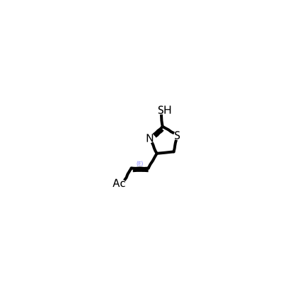 CC(=O)/C=C/C1CSC(S)=N1